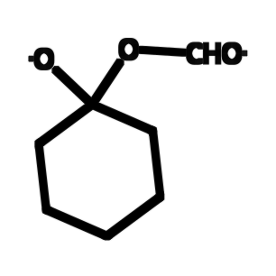 [O]C1(O[C]=O)CCCCC1